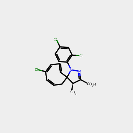 C[C@@H]1C(C(=O)O)=NN(c2ccc(Cl)cc2Cl)C12/C=C/C=C(Cl)\C=C/C2